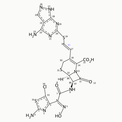 Nc1nc(C(=NO)C(=O)N[C@@H]2C(=O)N3C(C(=O)O)=C(/C=C/Sc4nc(N)c5cn[nH]c5n4)CS[C@H]23)c(Cl)s1